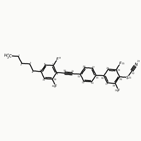 CCCCCc1cc(F)c(C#Cc2ccc(-c3cc(F)c(SC#N)c(F)c3)cc2)c(F)c1